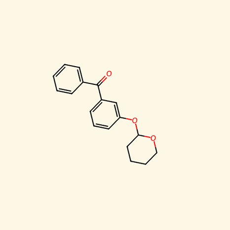 O=C(c1ccccc1)c1cccc(OC2CCCCO2)c1